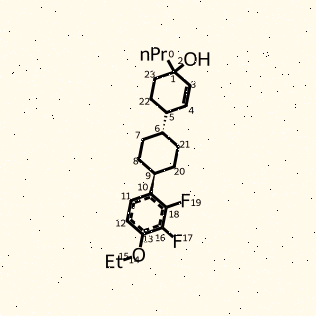 CCCC1(O)C=CC([C@H]2CC[C@H](c3ccc(OCC)c(F)c3F)CC2)CC1